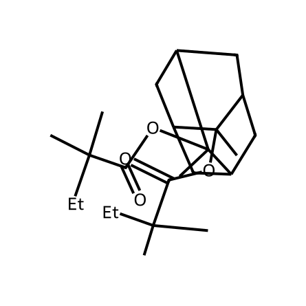 CCC(C)(C)C(=O)OC1(C)C2CC3CC1CC(C2)C3(C)OC(=O)C(C)(C)CC